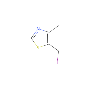 Cc1ncsc1CI